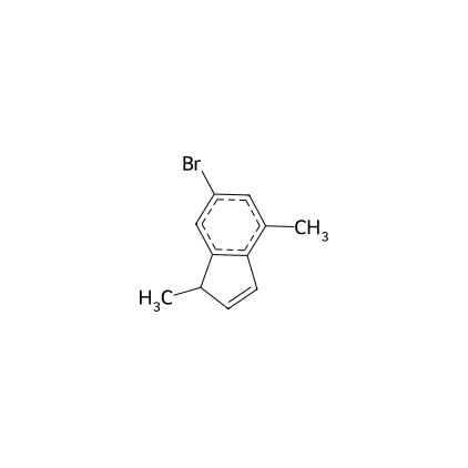 Cc1cc(Br)cc2c1C=CC2C